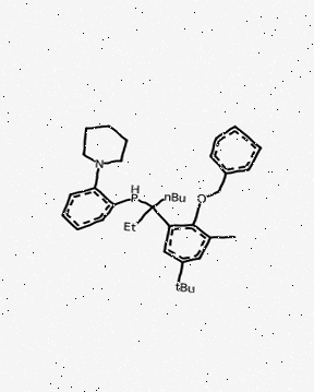 CCCCC(CC)(Pc1ccccc1N1CCCCC1)c1cc(C(C)(C)C)cc(C)c1OCc1ccccc1